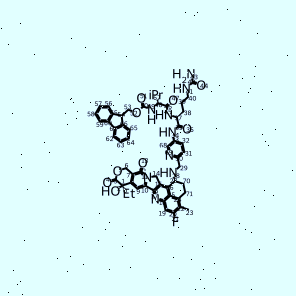 CC[C@@]1(O)C(=O)OCc2c1cc1n(c2=O)Cc2c-1nc1cc(F)c(C)c3c1c2[C@@H](NCc1ccc(NC(=O)[C@H](CCCNC(N)=O)NC(=O)[C@@H](NC(=O)OCC2c4ccccc4-c4ccccc42)C(C)C)cn1)CC3